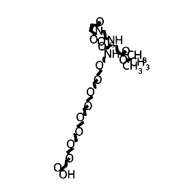 CC(C)(C)OC(=O)CC[C@H](NC(=O)CN1C(=O)C=CC1=O)C(=O)NCCOCCOCCOCCOCCOCCOCCOCCOCCC(=O)O